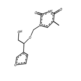 Cc1cn(COC(CO)c2ccoc2)c(=O)[nH]c1=O